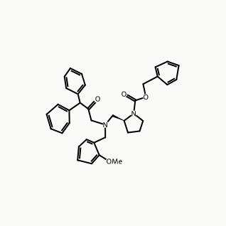 COc1ccccc1CN(CC(=O)C(c1ccccc1)c1ccccc1)C[C@@H]1CCCN1C(=O)OCc1ccccc1